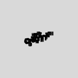 CC(C)Nc1c(C(=O)NCC(F)C(C)(C)O)cnc2cc(-n3ccccc3=O)nn12